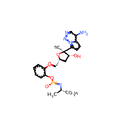 C[C@H](N=[P+]([O-])Oc1ccccc1OC[C@H]1C[C@@H](O)[C@](C#N)(c2ccc3c(N)cnnn23)O1)C(=O)O